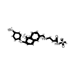 CC(C)(C)C1CCC(Oc2ccc3cc(CNCCC(=O)NS(C)(=O)=O)ccc3c2C(F)(F)F)CC1